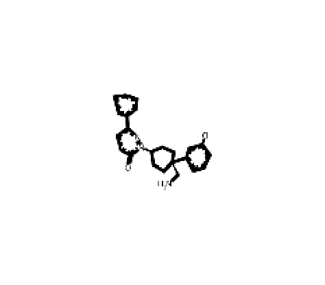 NC[C@]1(c2cccc(Cl)c2)CC[C@H](n2nc(-c3ccccc3)ccc2=O)CC1